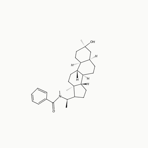 C[C@H](C1CC[C@H]2[C@@H]3CC[C@@H]4C[C@](C)(O)CC[C@@H]4[C@H]3CC[C@]12C)N(C)C(=O)c1ccccc1